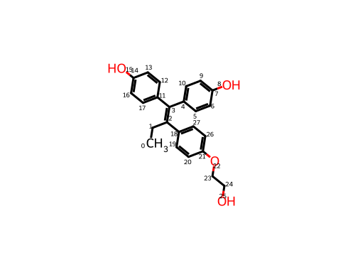 CCC(=C(c1ccc(O)cc1)c1ccc(O)cc1)c1ccc(OCCO)cc1